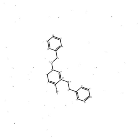 BrC1=CCC(OCc2ccccc2)C=C1OCc1ccccc1